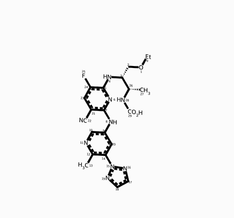 CCOC[C@@H](Nc1nc(Nc2cnc(C)c(-n3nccn3)c2)c(C#N)cc1F)[C@H](C)NC(=O)O